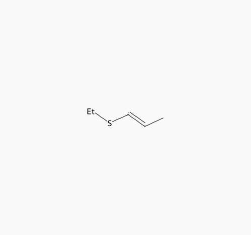 C/C=[C]/SCC